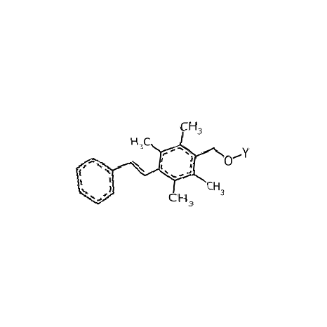 Cc1c(C)c(C[O][Y])c(C)c(C)c1/C=C/c1ccccc1